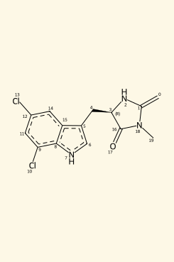 C=C1N[C@H](Cc2c[nH]c3c(Cl)cc(Cl)cc23)C(=O)N1C